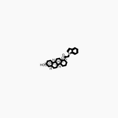 C[C@]12CC[C@@H](O)C[C@@H]1CC[C@@H]1[C@@H]2CC[C@]2(C)[C@@H](C(=O)Cn3ccc4ccccc43)CCC[C@@H]12